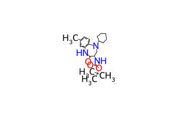 Cc1ccc2c(c1)NC(=O)C(NC(=O)OC(C)(C)C)CN2C1CCCCC1